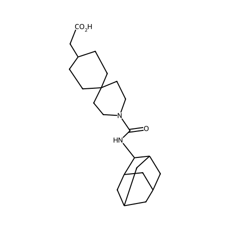 O=C(O)CC1CCC2(CC1)CCN(C(=O)NC1C3CC4CC(C3)CC1C4)CC2